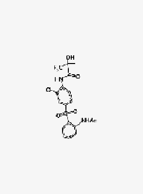 CC(=O)Nc1ccccc1S(=O)(=O)c1ccc(NC(=O)C(C)(O)C(F)(F)F)c(Cl)c1